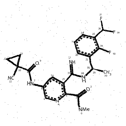 CNC(=O)c1ncc(NC(=O)C2(C#N)CC2)cc1C(=N)N[C@H](C)c1cccc(C(F)F)c1F